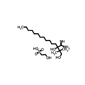 CCCCCCCCCCCCC(O)(C(=N)N)C(C)(C)CO.O=S(=O)(O)CCO